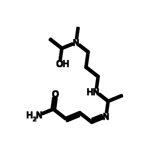 CC(/N=C\C=C\C(N)=O)NCCCN(C)C(C)O